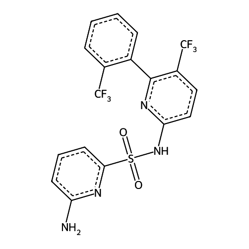 Nc1cccc(S(=O)(=O)Nc2ccc(C(F)(F)F)c(-c3ccccc3C(F)(F)F)n2)n1